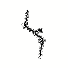 CCCCCCCCCOC(=O)C(C)CCCCCCN(CCCCCCC(C)C(=O)OCCCCCCCCC)CCCN(C)C